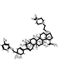 C=C(C)[C@@H]1CC[C@]2(NCCN3CCS(=O)(=O)CC3)CC[C@]3(C)[C@H](CC[C@@H]4[C@@]5(C)CC=C(C6=CC[C@@](COc7cc(C#N)ccn7)(C(=O)OCC)CC6)C(C)(C)[C@@H]5CC[C@]43C)[C@@H]12